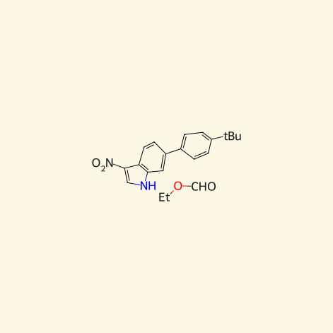 CC(C)(C)c1ccc(-c2ccc3c([N+](=O)[O-])c[nH]c3c2)cc1.CCOC=O